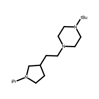 CC(C)N1CCC(CCN2CCN(C(C)(C)C)CC2)C1